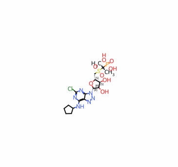 CC(C)(P(=O)(O)O)S(=O)(=O)C[C@H]1O[C@@H](n2nnc3c(NC4CCCC4)nc(Cl)nc32)[C@H](O)[C@@H]1O